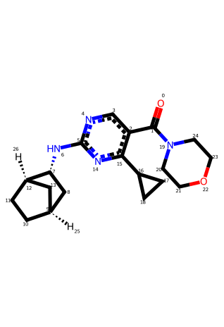 O=C(c1cnc(N[C@@H]2C[C@H]3CC[C@@H]2C3)nc1C1CC1)N1CCOCC1